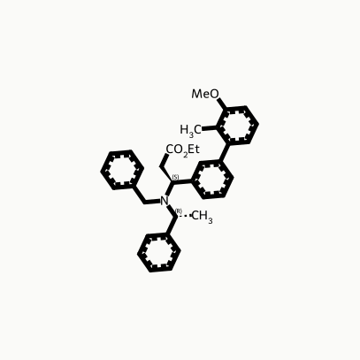 CCOC(=O)C[C@@H](c1cccc(-c2cccc(OC)c2C)c1)N(Cc1ccccc1)[C@H](C)c1ccccc1